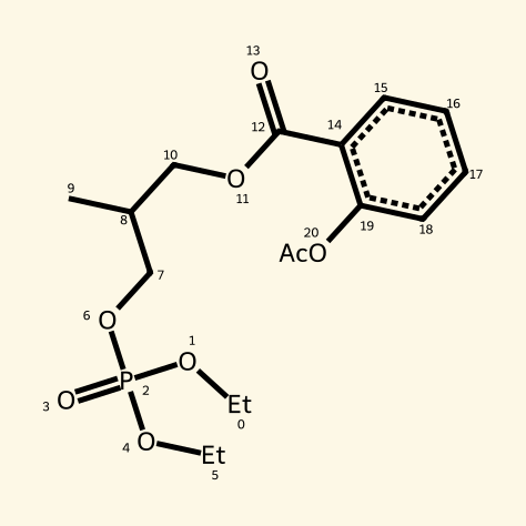 CCOP(=O)(OCC)OCC(C)COC(=O)c1ccccc1OC(C)=O